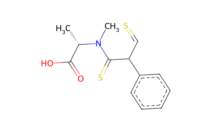 C[C@@H](C(=O)O)N(C)C(=S)C(C=S)c1ccccc1